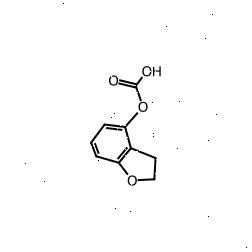 O=C(O)Oc1cccc2c1CCO2